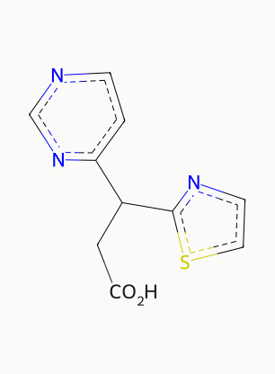 O=C(O)CC(c1ccncn1)c1nccs1